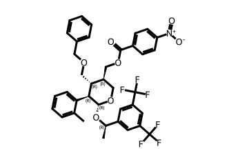 Cc1ccccc1[C@@H]1[C@@H](O[C@H](C)c2cc(C(F)(F)F)cc(C(F)(F)F)c2)OC[C@H](COC(=O)c2ccc([N+](=O)[O-])cc2)[C@H]1COCc1ccccc1